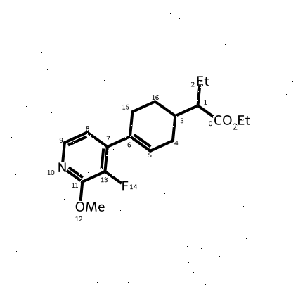 CCOC(=O)C(CC)C1CC=C(c2ccnc(OC)c2F)CC1